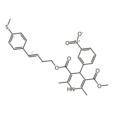 COC(=O)C1=C(C)NC(C)=C(C(=O)OCC/C=C/c2ccc(SC)cc2)C1c1cccc([N+](=O)[O-])c1